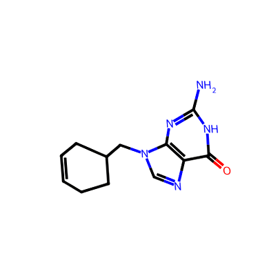 Nc1nc2c(ncn2CC2CC=CCC2)c(=O)[nH]1